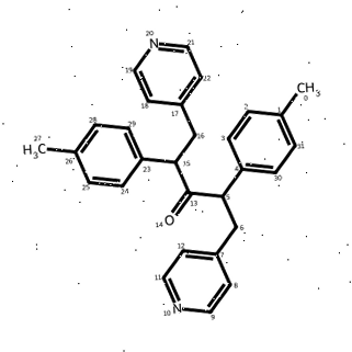 Cc1ccc(C(Cc2ccncc2)C(=O)C(Cc2ccncc2)c2ccc(C)cc2)cc1